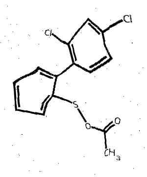 CC(=O)OSc1ccccc1-c1ccc(Cl)cc1Cl